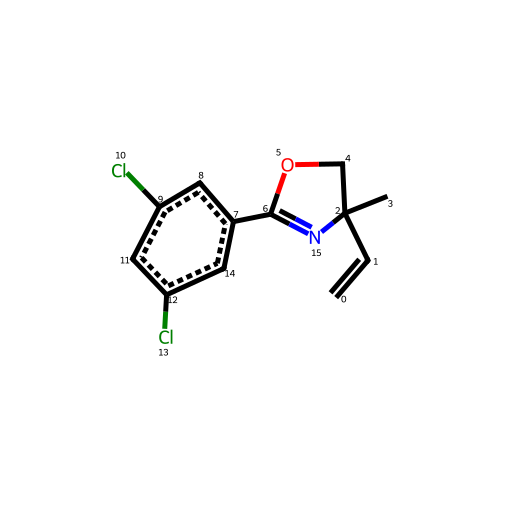 C=CC1(C)COC(c2cc(Cl)cc(Cl)c2)=N1